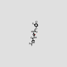 O=C(COc1ccc(Cl)c(F)c1)NC12CC(NC(=O)c3cnn(C(F)F)c3)(C1)C2